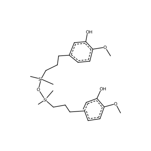 COc1ccc(CCC[Si](C)(C)O[Si](C)(C)CCCc2ccc(OC)c(O)c2)cc1O